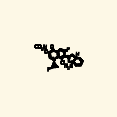 N[C@@]12C=CC=C[C@@H]1CN(c1c(F)cc3c(=O)c(OC(=O)O)cn([C@H]4C[C@H]4F)c3c1Cl)C2